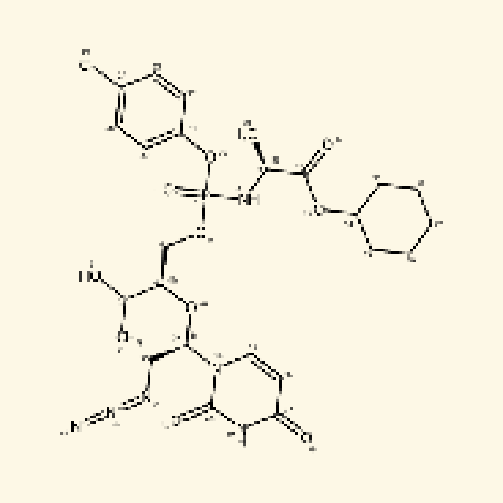 CC(O)[C@@H](COP(=O)(N[C@@H](C)C(=O)OC1CCCCC1)Oc1ccc(Cl)cc1)O[C@H](CN=[N+]=[N-])n1ccc(=O)[nH]c1=O